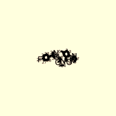 Cc1ccc(-n2nccn2)c(C(=O)N2CCOC2Cn2cc(-c3ccc(F)cc3)cn2)c1